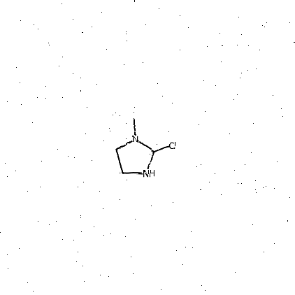 CN1C[CH]NC1Cl